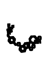 O=C1CCCC(N2Cc3c(OCc4ccc(CN5CC(F)(F)C5)cc4)cccc3C2=O)C(=O)N1